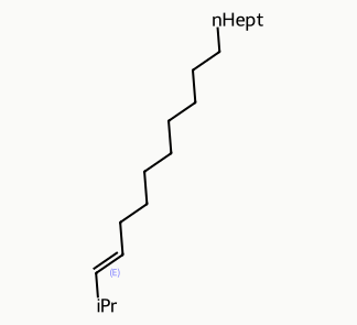 CCCCCCCCCCCCCCC/C=C/C(C)C